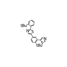 CC(C)(C)c1ccc(-c2cnc(-c3ccccc3C(C)(C)C)s2)cc1-c1cncs1